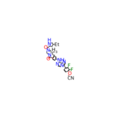 CCC1CNC(C(=O)N2CCN(C(=O)c3ccc(Nc4nccn5c(-c6ccc(OCC#N)c(F)c6F)cnc45)cc3C)CC2)C1